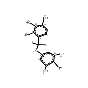 CC(C)c1c(O)cc(OC(C)(C)c2ccc(O)c(O)c2O)cc1O